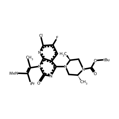 CN/C(=C(\C)n1c(=O)nc(N2C[C@@H](C)N(C(=O)OC(C)(C)C)C[C@@H]2C)c2cc(F)c(Cl)nc21)C(C)C